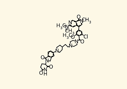 COc1cc(-c2cn(C)c(=O)c3cnc(N(C)C)cc23)cc(Cl)c1C(=O)N1CCN(CCC2CCN(c3ccc4c(c3)CN(C3CCC(=O)NC3=O)C4=O)CC2)CC1